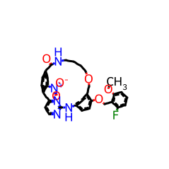 COc1cccc(F)c1COc1ccc2cc1COCCCCNC(=O)c1ccc(c([N+](=O)[O-])c1)-c1ccnc(n1)N2